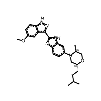 COc1ccc2[nH]nc(-c3nc4ccc(N5C[C@@H](C[CH]C(C)C)OC[C@@H]5C)cc4[nH]3)c2c1